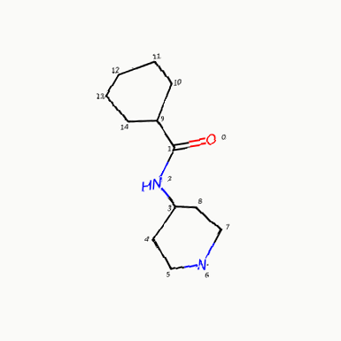 O=C(NC1CC[N]CC1)C1CCCCC1